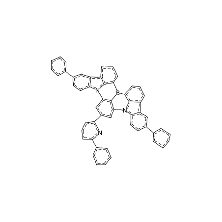 c1ccc(-c2ccc3c(c2)c2cccc4c2n3-c2cc(-c3cccc(-c5ccccc5)n3)cc3c2B4c2cccc4c5cc(-c6ccccc6)ccc5n-3c24)cc1